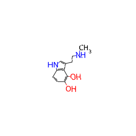 CNCCc1c[nH]c2ccc(O)c(O)c12